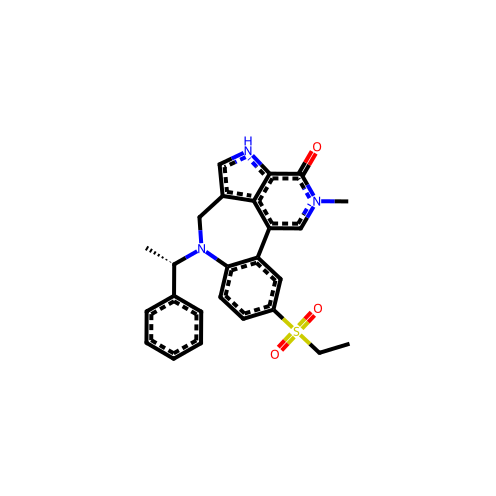 CCS(=O)(=O)c1ccc2c(c1)-c1cn(C)c(=O)c3[nH]cc(c13)CN2[C@@H](C)c1ccccc1